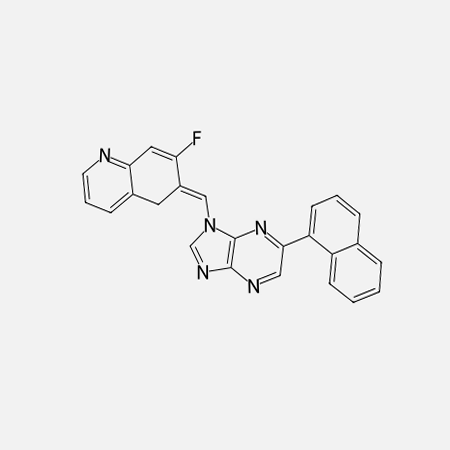 FC1=Cc2ncccc2CC1=Cn1cnc2ncc(-c3cccc4ccccc34)nc21